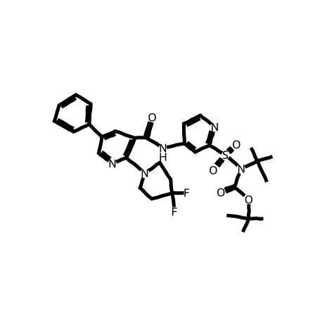 CC(C)(C)OC(=O)N(C(C)(C)C)S(=O)(=O)c1cc(NC(=O)c2cc(-c3ccccc3)cnc2N2CCC(F)(F)CC2)ccn1